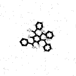 CC(c1ccccc1)c1c(Cl)c(C(C)c2ccccc2)c(C(C)c2ccccc2)c(C(C)c2ccccc2)c1Cl